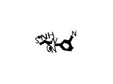 N#Cc1cccc(-c2noc(C3CSCN3)n2)c1